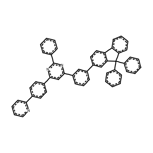 c1ccc(-c2nc(-c3ccc(-c4ccccn4)cc3)cc(-c3cccc(-c4ccc5c(c4)C(c4ccccc4)(c4ccccc4)c4ccccc4-5)c3)n2)cc1